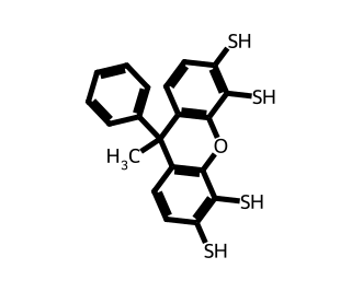 CC1(c2ccccc2)c2ccc(S)c(S)c2Oc2c1ccc(S)c2S